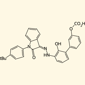 CC(C)(C)c1ccc(N2C(=O)C(=NNc3cccc(-c4cccc(OC(=O)O)c4)c3O)c3ccccc32)cc1